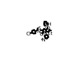 CCc1ccc(N(C)C)cc1-n1c(C=C(C)C)c(C(=O)N2CC3CCC(C2)N3)cc(-c2nc(-c3ccc(Cl)cc3)cs2)c1=O